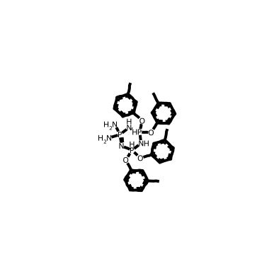 Cc1cccc(O[PH]2(Oc3cccc(C)c3)N=P(N)(N)N[PH](Oc3cccc(C)c3)(Oc3cccc(C)c3)N2)c1